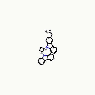 C=Cc1ccc2c(c1)c1ccccc1n2[C@@H]1CC[C@H]1n1c2ccccc2c2ccccc21